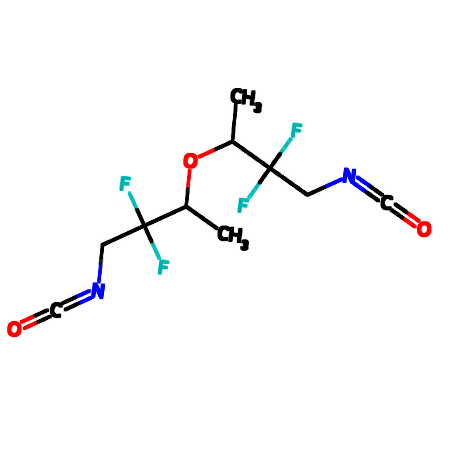 CC(OC(C)C(F)(F)CN=C=O)C(F)(F)CN=C=O